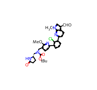 COc1nc(-c2cccc(-c3ccc4c(C=O)cn(C)c4n3)c2Cl)ccc1CN(C[C@@H]1CCC(=O)N1)C(=O)OC(C)(C)C